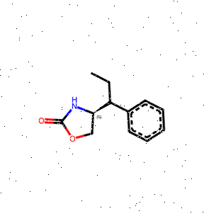 CCC(c1ccccc1)[C@H]1COC(=O)N1